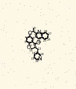 CC(Oc1ccc2c(c1)C(=O)C(Cc1cccnc1)CO2)c1ccc2ccccc2n1